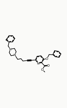 COC(=O)c1nc(C#CCCCN2CCN(Cc3ccccc3)CC2)ccc1OCc1ccccc1